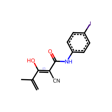 C=C(C)/C(O)=C(\C#N)C(=O)Nc1ccc(I)cc1